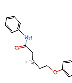 C[C@@H](CCOc1ccccc1)CC(=O)Nc1ccccc1